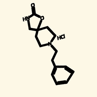 Cl.O=C1NCC2(CCN(CCc3ccccc3)CC2)O1